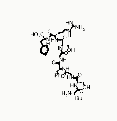 CC[C@H](C)[C@H](N)C(=O)N[C@@H](CO)C(=O)NCC(=O)N[C@@H](CC(C)C)C(=O)NCC(=O)N[C@@H](CO)C(=O)N[C@@H](CCCNC(=N)N)C(=O)N[C@@H](Cc1ccccc1)C(=O)O